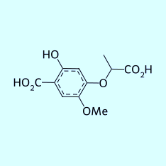 COc1cc(C(=O)O)c(O)cc1OC(C)C(=O)O